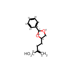 C=C(CCC1COC(c2ccccc2)O1)C(=O)O